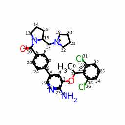 CC(Oc1cc(-c2ccc(C(=O)N3CCCC3CN3CCCC3)cc2)cnc1N)c1c(Cl)cccc1Cl